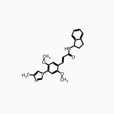 COc1cc(-n2cnc(C)c2)c(OC)cc1C=CC(=O)NC1CCc2ccccc21